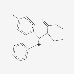 O=C1CCCCC1C(Nc1ccccc1)c1ccc(F)cc1